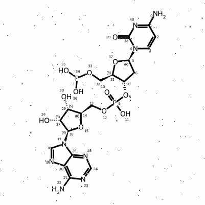 Nc1ccn([C@H]2C[C@H](OP(=O)(O)OC[C@H]3O[C@@H](n4cnc5c(N)ncnc54)[C@H](O)[C@@H]3O)[C@@H](COP(O)O)O2)c(=O)n1